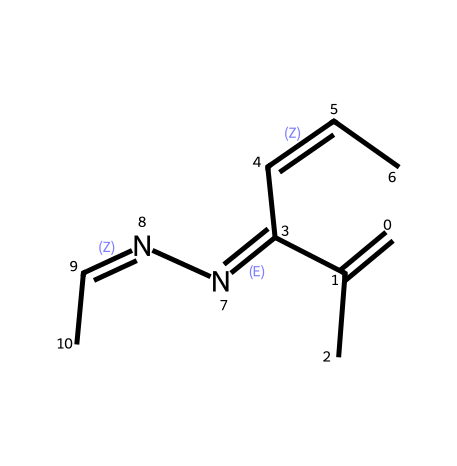 C=C(C)C(/C=C\C)=N/N=C\C